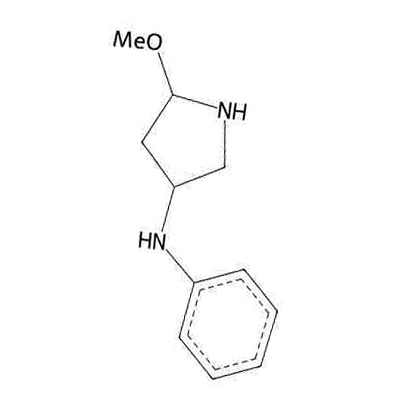 COC1CC(Nc2ccccc2)CN1